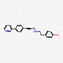 Oc1ccc(CCNCC#Cc2ccc(-c3cccnc3)cc2)cc1